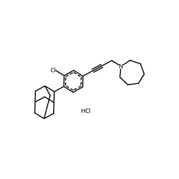 Cl.Clc1cc(C#CCN2CCCCCC2)ccc1C1C2CC3CC(C2)CC1C3